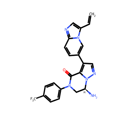 C=Cc1cnc2ccc(-c3cnn4c3C(=O)N(c3ccc(C(F)(F)F)cc3)C[C@@H]4N)cn12